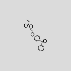 C=CC(=O)OCCOc1ccc(C(=O)c2ccccc2)cc1